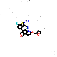 N#Cc1c(N)sc2c(F)ccc(-c3c4c(c5ccc(OC[C@H]6CCCO6)nc5c3Cl)COC4)c12